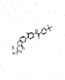 Cc1cc(NC(=O)c2ccc(C(C)(C)C)cc2)ccc1-c1ccc2c(c1)C(=O)N([C@H](C(=O)O)C(C)C)C2